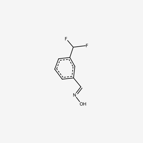 ON=Cc1cccc(C(F)F)c1